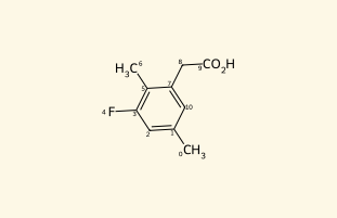 Cc1cc(F)c(C)c(CC(=O)O)c1